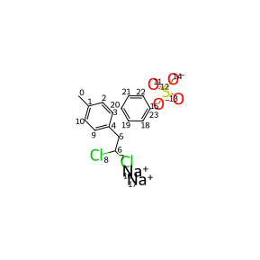 Cc1ccc(CC(Cl)Cl)cc1.O=S(=O)([O-])[O-].[Na+].[Na+].c1ccccc1